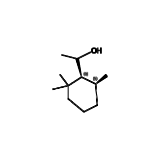 CC(O)[C@H]1[C@@H](C)CCCC1(C)C